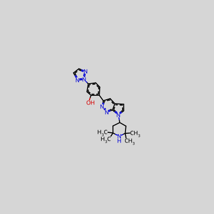 CC1(C)CC(n2ccc3cc(-c4ccc(-n5nccn5)cc4O)nnc32)CC(C)(C)N1